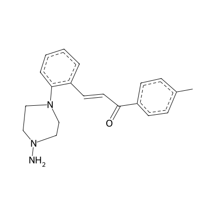 Cc1ccc(C(=O)C=Cc2ccccc2N2CCN(N)CC2)cc1